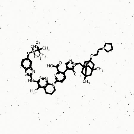 Cc1c(Nc2nc3cc(O[Si](C)(C)C(C)(C)C)ccc3s2)nnc2c1CCCN2c1ccc(-c2cnn(CC34CC5(C)CC(C)(C3)CC(OCCN3CCCC3)(C5)C4)c2C)c(C(=O)O)n1